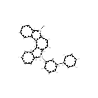 Cn1c2ccccc2c2c3c4ccccc4n(-c4cccc(-c5ccccc5)c4)c3ccc21